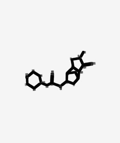 CN1CC2C3CC(CC3OC(=O)CN3CCOCC3)C2C1=O